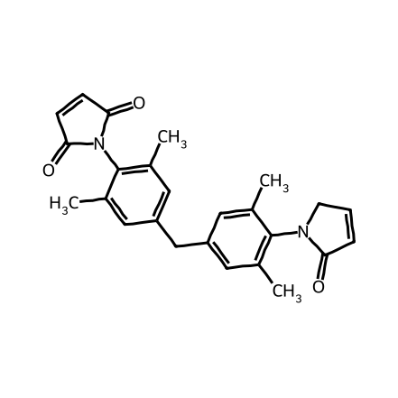 Cc1cc(Cc2cc(C)c(N3C(=O)C=CC3=O)c(C)c2)cc(C)c1N1CC=CC1=O